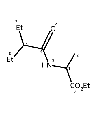 CCOC(=O)C(C)NC(=O)C(CC)CC